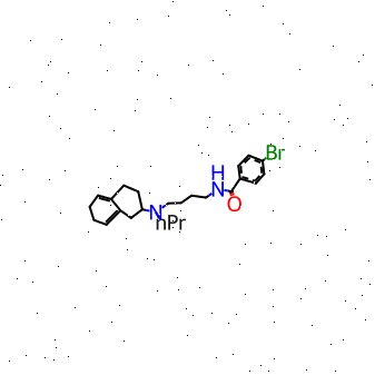 CCCN(CCCCNC(=O)c1ccc(Br)cc1)C1CCC2=CCCC=C2C1